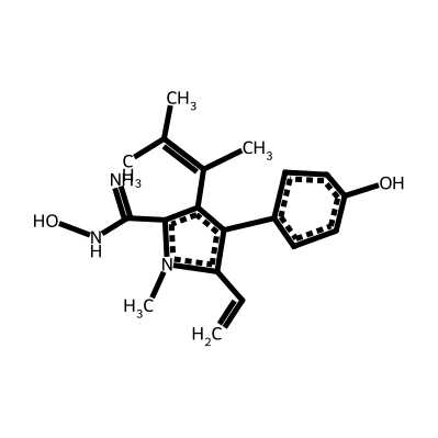 C=Cc1c(-c2ccc(O)cc2)c(C(C)=C(C)C)c(C(=N)NO)n1C